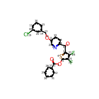 O=C(Oc1sc(C(=O)c2ccc(OCc3cccc(Cl)c3)cn2)c(F)c1F)c1ccccc1